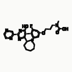 CN(CCCOc1cc(F)c(-c2c(O)nc(-c3cnccn3)nc2C2CCCCCC2)c(F)c1)C(=O)O